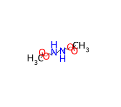 CC(=O)OCCNCCNCCOC(C)=O